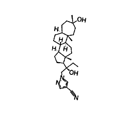 CC[C@](O)(Cn1cc(C#N)cn1)[C@H]1CC[C@H]2[C@@H]3CC[C@H]4CC[C@](C)(O)CC[C@]4(C)[C@H]3CC[C@]12C